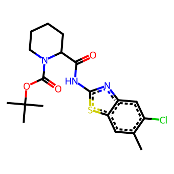 Cc1cc2sc(NC(=O)C3CCCCN3C(=O)OC(C)(C)C)nc2cc1Cl